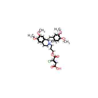 COc1ccc(C[C@@H]2c3cc(OC)c(OC)cc3CC[N@@+]2(C)CCCOC(=O)/C(Cl)=C/C(=O)O)cc1OC